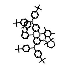 Cc1cc(C)c2c3c1B1c4ccc(N(c5ccc(C(C)(C)C)cc5)c5ccc(C(C)(C)C)cc5)cc4N(c4cccc5sc6ccccc6c45)c4cc(N(c5ccc(C(C)(C)C)cc5)c5ccc(C(C)(C)C)cc5)cc(c41)N3C1(C)CCCCC21C